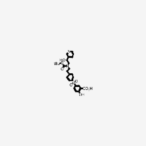 CC(C)(C)OC(=O)N(CCc1ccc(S(=O)(=O)c2ccc(O)c(C(=O)O)c2)cc1)C[C@H](O)c1cccnc1